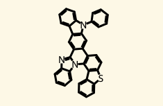 c1ccc(-n2c3ccccc3c3cc4c(cc32)c2ccc3sc5ccccc5c3c2n2c3ccccc3nc42)cc1